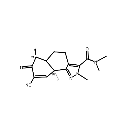 C[C@@H]1C(=O)C(C#N)=C[C@]2(C)c3nn(C)c(C(=O)N(C)C)c3CCC12